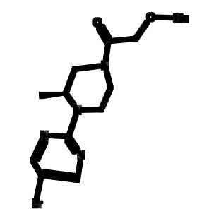 C[C@H]1CN(C(=O)COC(C)(C)C)CCN1c1ncc(Br)cn1